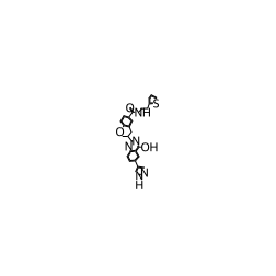 O=C(NCCc1cccs1)c1ccc2c(c1)CC(c1nc(O)c3cc(-c4cn[nH]c4)ccc3n1)CO2